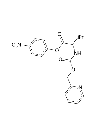 CC(C)C(NC(=O)OCc1ccccn1)C(=O)Oc1ccc([N+](=O)[O-])cc1